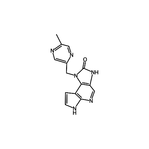 Cc1cnc(Cn2c(=O)[nH]c3cnc4[nH]ccc4c32)cn1